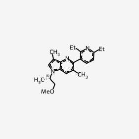 CCc1ccc(-c2nc3c(C)cn([C@@H](C)COC)c3cc2C)c(CC)n1